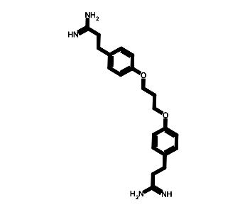 N=C(N)CCc1ccc(OCCCOc2ccc(CCC(=N)N)cc2)cc1